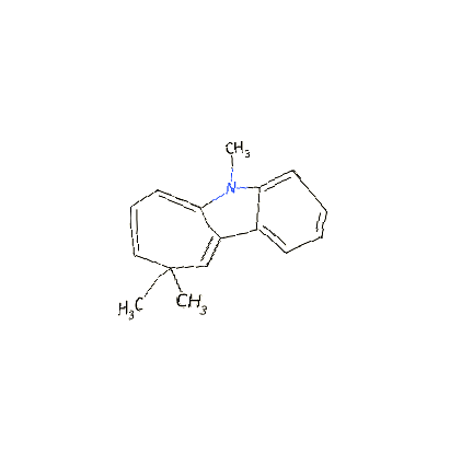 Cn1c2c(c3ccccc31)=CC(C)(C)C=CC=2